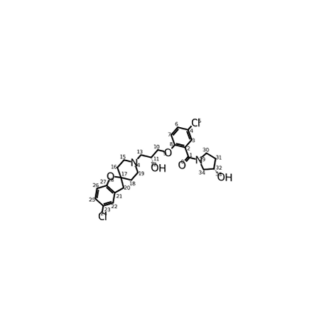 O=C(c1cc(Cl)ccc1OC[C@H](O)CN1CCC2(CC1)Cc1cc(Cl)ccc1O2)N1CC[C@H](O)C1